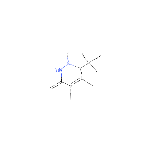 C=C1NN(C)C(C(C)(C)C)C(C)=C1C